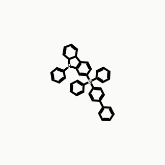 C1=CC2c3ccc([Si](c4ccccc4)(c4ccccc4)c4ccc(-c5ccccc5)cc4)cc3N(c3ccccc3)C2C=C1